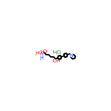 Cl.O=C(CCCCC(O)c1ccc(-c2ccc(CN3CCCCC3)cc2)cc1)NO